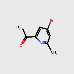 CC(=O)c1cc(Br)cc(C)n1